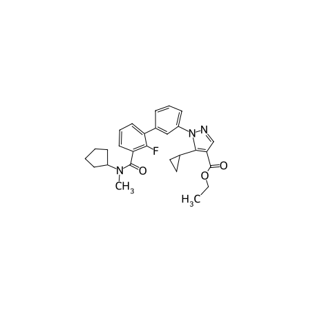 CCOC(=O)c1cnn(-c2cccc(-c3cccc(C(=O)N(C)C4CCCC4)c3F)c2)c1C1CC1